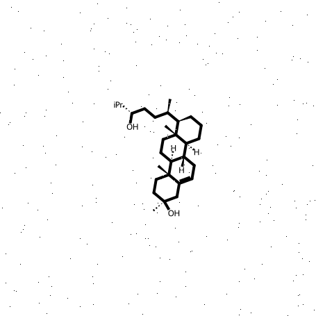 CC(C)[C@@H](O)CC[C@@H](C)[C@H]1CCC[C@H]2[C@@H]3CC=C4C[C@@](C)(O)CC[C@]4(C)[C@H]3CC[C@]12C